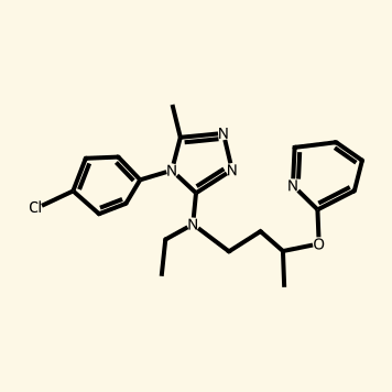 CCN(CCC(C)Oc1ccccn1)c1nnc(C)n1-c1ccc(Cl)cc1